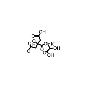 CC(O)C(=O)O.O=C([O-])CC(O)(CC(=O)O)C(=O)O.[K+]